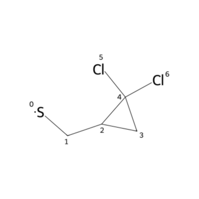 [S]CC1CC1(Cl)Cl